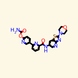 NC(=O)Oc1ccc(-c2cccc(C(=O)Nc3cnc4nc(N5CCOCC5)sc4c3)n2)cn1